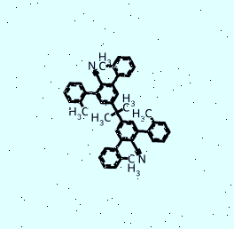 Cc1ccccc1-c1cc(C(C)(C)c2cc(-c3ccccc3C)c(C#N)c(-c3ccccc3C)c2)cc(-c2ccccc2C)c1C#N